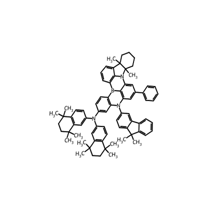 CC1(C)CCC(C)(C)c2cc(N(c3ccc4c(c3)N(c3ccc5c(c3)-c3ccccc3C5(C)C)c3cc(-c5ccccc5)cc5c3B4c3cccc4c3N5C3(C)CCCCC43C)c3ccc4c(c3)C(C)(C)CCC4(C)C)ccc21